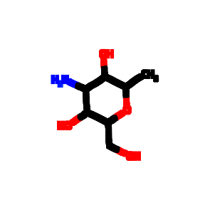 CC1OC(CO)C(O)C(N)C1O